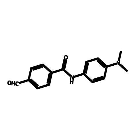 CN(C)c1ccc(NC(=O)c2ccc(C=O)cc2)cc1